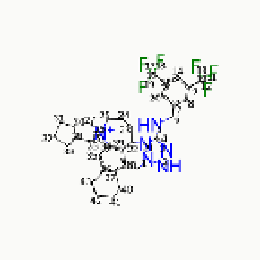 CN1NN=C(NCc2cc(C(F)(F)F)cc(C(F)(F)F)c2)N1C1CCC[N@@+](C)(CC2CCCC2)c2cc3c(cc21)CCCC3